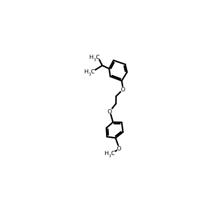 COc1ccc(OCCOc2cccc([C](C)C)c2)cc1